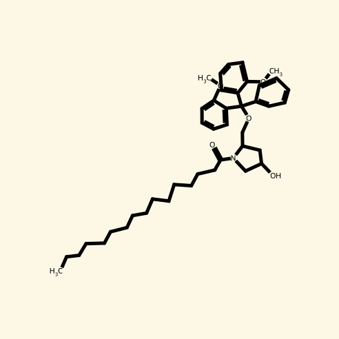 CCCCCCCCCCCCCCCC(=O)N1CC(O)CC1COC(c1ccccc1)(c1ccccc1OC)c1ccccc1OC